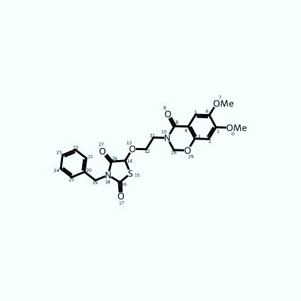 COc1cc2c(cc1OC)C(=O)N(CCOC1SC(=O)N(Cc3ccccc3)C1=O)CO2